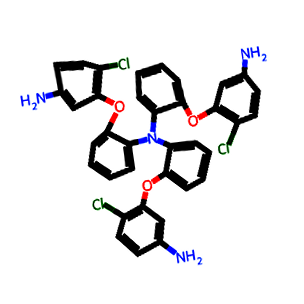 Nc1ccc(Cl)c(Oc2ccccc2N(c2ccccc2Oc2cc(N)ccc2Cl)c2ccccc2Oc2cc(N)ccc2Cl)c1